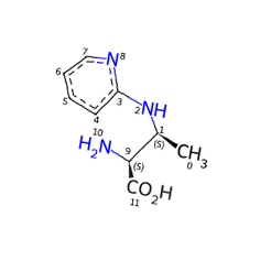 C[C@H](Nc1ccccn1)[C@H](N)C(=O)O